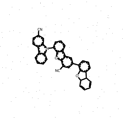 N#Cc1ccc2c3ccccc3n(-c3cccc4c3oc3c(C#N)cc(-c5cccc6c5OC5C=CC=CC65)cc34)c2c1